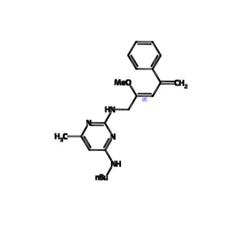 C=C(/C=C(/CNc1nc(C)cc(NCCCC)n1)OC)c1ccccc1